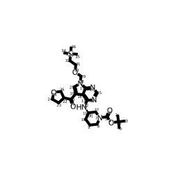 CC(C)(C)OC(=O)N1CCC[C@@H](Nc2ncnc3c2c(C(=O)C2CCOC2)cn3COCC[Si](C)(C)C)C1